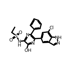 CCS(=O)(=O)Nc1nc(-c2ccccc2)c(-c2cc(Cl)c3[nH]ncc3c2)nc1O